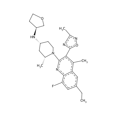 CCc1cc(F)c2nc(N3CC[C@@H](N[C@H]4CCOC4)C[C@H]3C)c(-c3nc(C)no3)c(C)c2c1